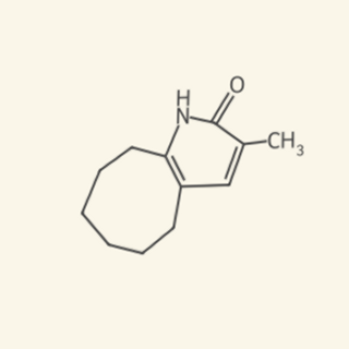 Cc1cc2c([nH]c1=O)CCCCCC2